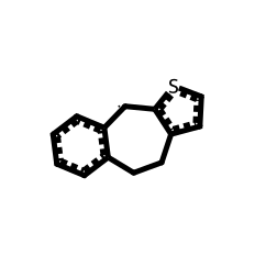 [CH]1c2ccccc2CCc2ccsc21